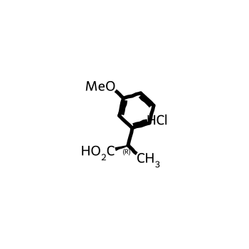 COc1cccc([C@@H](C)C(=O)O)c1.Cl